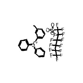 Cc1cccc([S+](c2ccccc2)c2ccccc2)c1.O=S(=O)([O-])C(F)(F)C(F)(F)C(F)(F)C(F)(F)C(F)(F)C(F)(F)F